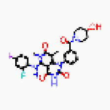 Cc1c(=O)n(C)c(Nc2ccc(I)cc2F)c2c(=O)[nH]c(=O)n(-c3cccc(C(=O)N4CCC(O)CC4)c3)c12